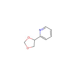 c1ccc(C2COCO2)nc1